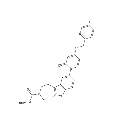 CC(C)(C)OC(=O)N1CCc2oc3ccc(-n4ccc(OCc5ccc(F)cn5)cc4=O)cc3c2CC1